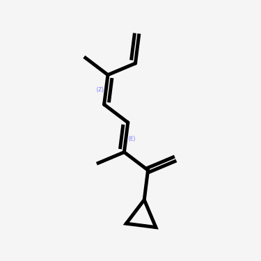 C=C/C(C)=C\C=C(/C)C(=C)C1CC1